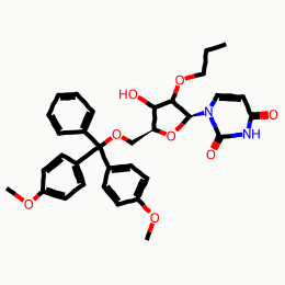 CCCOC1C(O)[C@H](COC(c2ccccc2)(c2ccc(OC)cc2)c2ccc(OC)cc2)O[C@@H]1n1ccc(=O)[nH]c1=O